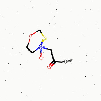 COC(=O)C[N+]1([O-])CCOCS1